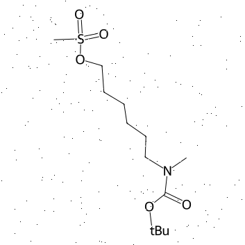 CN(CCCCCCOS(C)(=O)=O)C(=O)OC(C)(C)C